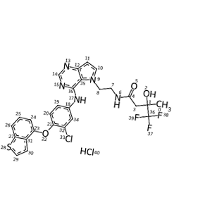 CC(O)(CC(=O)NCCn1ccc2ncnc(Nc3ccc(Oc4cccc5sccc45)c(Cl)c3)c21)C(F)(F)F.Cl